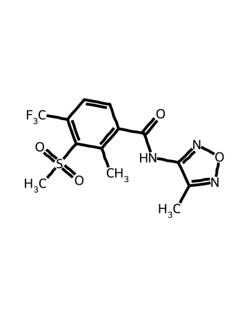 Cc1nonc1NC(=O)c1ccc(C(F)(F)F)c(S(C)(=O)=O)c1C